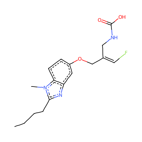 CCCCc1nc2cc(OC/C(=C/F)CNC(=O)O)ccc2n1C